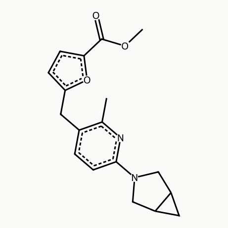 COC(=O)c1ccc(Cc2ccc(N3CC4CC4C3)nc2C)o1